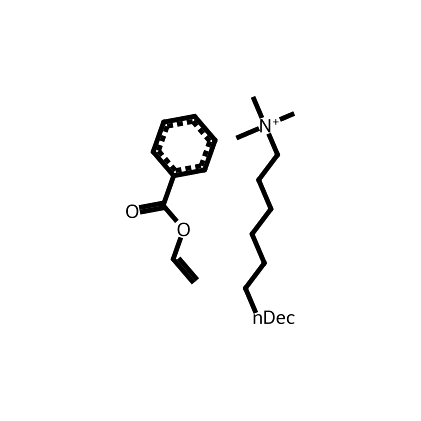 C=COC(=O)c1ccccc1.CCCCCCCCCCCCCCCC[N+](C)(C)C